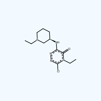 CCN1CCC[C@@H](Nc2nnc(Cl)n(CC)c2=O)C1